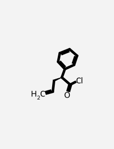 C=CC[C@H](C(=O)Cl)c1ccccc1